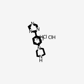 Cl.Cl.Cl.c1ncnc(-c2ccc(N3CCNCC3)cc2)n1